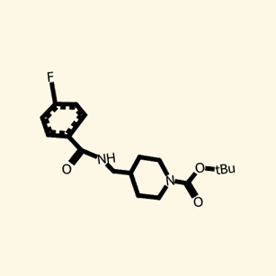 CC(C)(C)OC(=O)N1CCC(CNC(=O)c2ccc(F)cc2)CC1